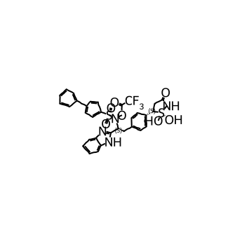 O=C1C[C@@H](c2ccc(C[C@@H](c3nc4ccccc4[nH]3)N(OC(=O)C(F)(F)F)S(=O)(=O)c3ccc(-c4ccccc4)cc3)cc2)S(O)(O)N1